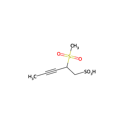 CC#CC(CS(=O)(=O)O)S(C)(=O)=O